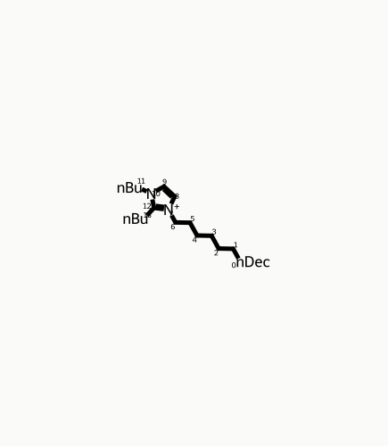 CCCCCCCCCCCCCCCC[n+]1ccn(CCCC)c1CCCC